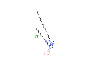 CCCCCCCCC=CCCCCCCCCNC(C)[N+]1=C(CCCCCCCCCCCC)N(CCO)CC1.[Cl-]